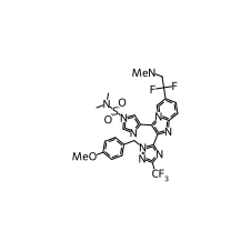 CNCC(F)(F)c1ccc2nc(-c3nc(C(F)(F)F)nn3Cc3ccc(OC)cc3)c(-c3cn(S(=O)(=O)N(C)C)cn3)n2c1